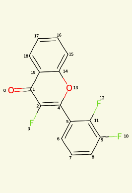 O=c1c(F)c(-c2cccc(F)c2F)oc2ccccc12